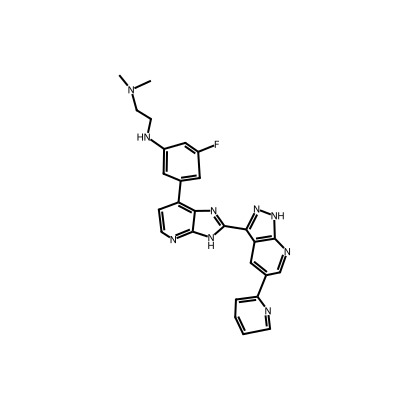 CN(C)CCNc1cc(F)cc(-c2ccnc3[nH]c(-c4n[nH]c5ncc(-c6ccccn6)cc45)nc23)c1